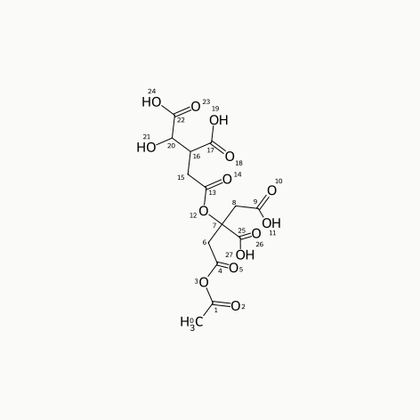 CC(=O)OC(=O)CC(CC(=O)O)(OC(=O)CC(C(=O)O)C(O)C(=O)O)C(=O)O